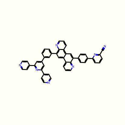 N#Cc1cccc(-c2ccc(-c3cc4c5cccnc5c(-c5cccc(-c6cc(-c7ccncc7)nc(-c7ccncc7)c6)c5)cc4c4cccnc34)cc2)n1